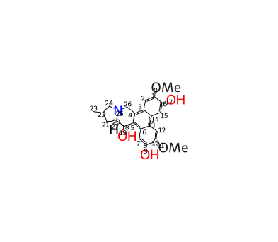 COc1cc2c3c(c4cc(O)c(OC)cc4c2cc1O)[C@@H](O)[C@H]1CC(C)CN1C3